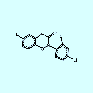 O=C1Cc2cc(I)ccc2ON1c1ccc(Cl)cc1Cl